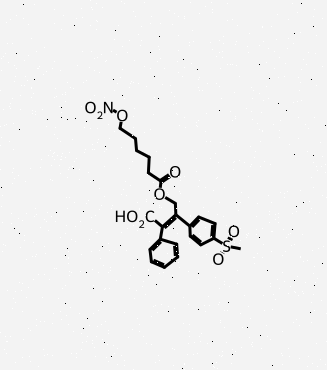 CS(=O)(=O)c1ccc(C(COC(=O)CCCCCO[N+](=O)[O-])=C(C(=O)O)c2ccccc2)cc1